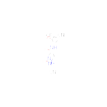 N#CCCn1nc2ccc(C(=O)NCc3ccc(C#N)cc3OC(F)(F)F)cn2c1=O